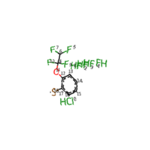 Cl.F.F.F.F.FC(F)C(F)(F)Oc1ccccc1[S]